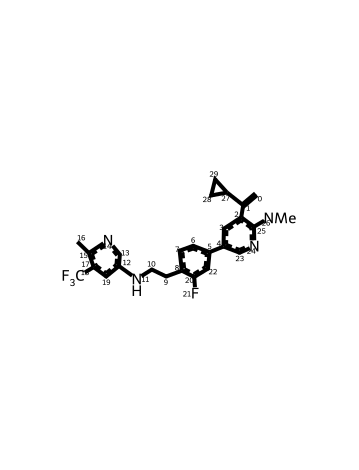 C=C(c1cc(-c2ccc(CCNc3cnc(C)c(C(F)(F)F)c3)c(F)c2)cnc1NC)C1CC1